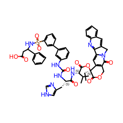 CC[C@@]1(OC(=O)[C@@H](NC(=O)[C@H](Cc2c[nH]cn2)NC(=O)Nc2cccc(-c3cccc(S(=O)(=O)NC(CC(=O)O)c4ccccc4)c3)c2)C(C)C)C(=O)OCc2c1cc1n(c2=O)Cc2cc3ccccc3nc2-1